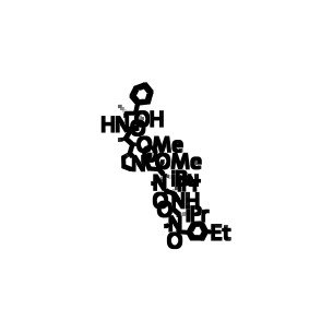 CCc1ccc(C(=O)N(C)[C@H](C(=O)N[C@H](C(=O)N(C)[C@@H]([C@@H](C)CC)[C@@H](CC(=O)N2CCC[C@H]2[C@H](OC)[C@@H](C)C(=O)N[C@H](C)[C@@H](O)c2ccccc2)OC)C(C)C)C(C)C)cc1